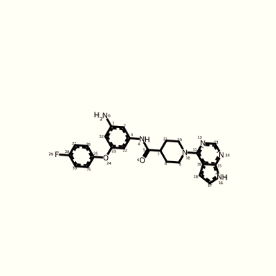 Nc1cc(NC(=O)C2CCN(c3ncnc4[nH]ccc34)CC2)cc(Oc2ccc(F)cc2)c1